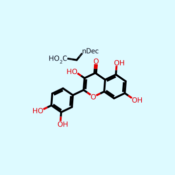 CCCCCCCCCCCC(=O)O.O=c1c(O)c(-c2ccc(O)c(O)c2)oc2cc(O)cc(O)c12